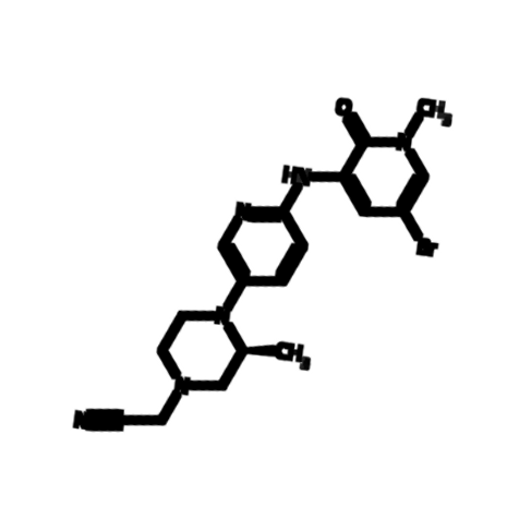 C[C@H]1CN(CC#N)CCN1c1ccc(Nc2cc(Br)cn(C)c2=O)nc1